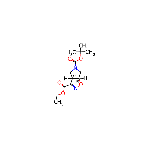 CCOC(=O)C1=NO[C@H]2CN(C(=O)OC(C)(C)C)C[C@@H]12